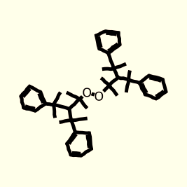 CC(C)(OOC(C)(C)C(C(C)(C)c1ccccc1)C(C)(C)c1ccccc1)C(C(C)(C)c1ccccc1)C(C)(C)c1ccccc1